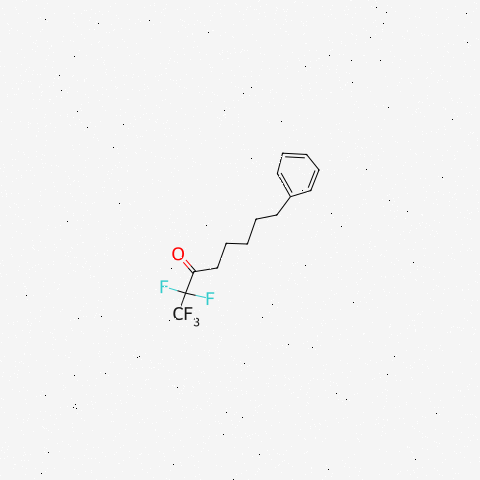 O=C(CCCCCc1ccccc1)C(F)(F)C(F)(F)F